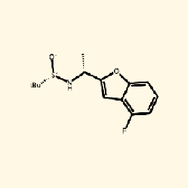 C[C@@H](N[S@@+]([O-])C(C)(C)C)c1cc2c(F)cccc2o1